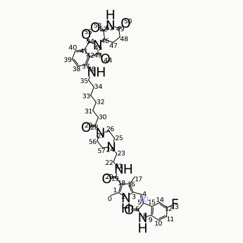 Cc1[nH]c(/C=C2\C(=O)Nc3ccc(F)cc32)c(C)c1C(=O)NCCN1CCN(C(=O)CCCCCCNc2cccc3c2C(=O)N(C2CCC(=O)NC2=O)C3=O)CC1